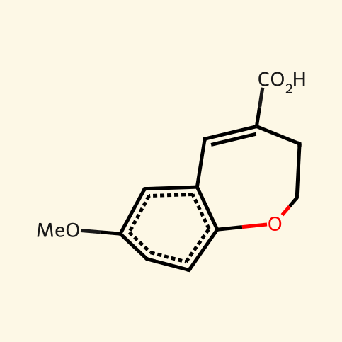 COc1ccc2c(c1)C=C(C(=O)O)CCO2